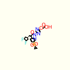 O=C(O)COc1cnc(NC(=O)/C(=C/[C@H]2C[C@@H](F)[C@@H](F)C2)c2ccc(S(=O)(=O)C3CC3)cc2)cn1